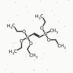 CCO[Si](C)(/C=C/[Si](OCC)(OCC)OCC)OCC